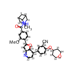 COc1cc(C(=O)NC2C3CC2CN(C)C3)ccc1-c1cc2nccc(-c3ccc(OC4CCOCC4)c(C#N)c3)c2o1